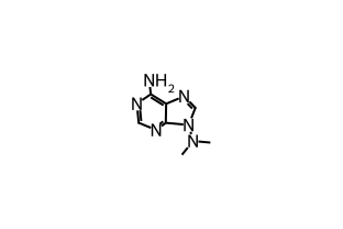 CN(C)n1cnc2c(N)ncnc21